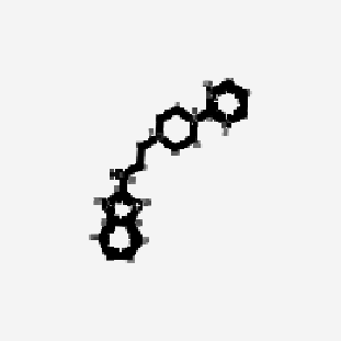 c1cnc(N2CCN(CCNc3nc4ccccc4o3)CC2)nc1